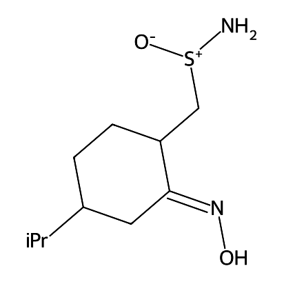 CC(C)C1CCC(C[S+](N)[O-])/C(=N/O)C1